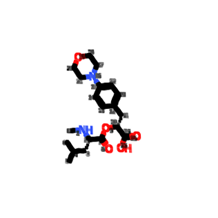 CN[C@@H](CC(C)C)C(=O)O[C@H](Cc1ccc(N2CCOCC2)cc1)C(=O)O